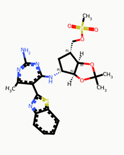 Cc1nc(N)nc(N[C@@H]2C[C@H](COS(C)(=O)=O)[C@H]3OC(C)(C)O[C@H]32)c1-c1nc2ccccc2s1